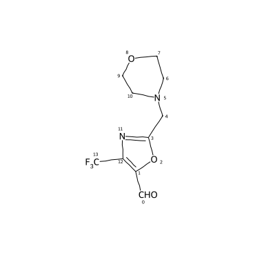 O=Cc1oc(CN2CCOCC2)nc1C(F)(F)F